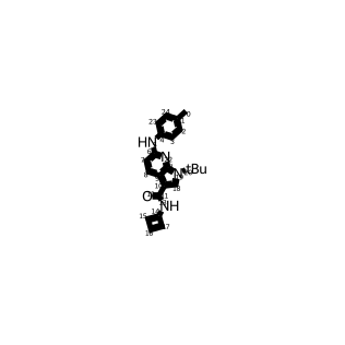 Cc1ccc(Nc2ccc3c(C(=O)NC4=CC=C4)cn(C(C)(C)C)c3n2)cc1